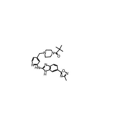 Cc1noc(-c2ccc3nc(Nc4cc(CN5CCN(C(=O)C(C)(C)C)CC5)ccn4)[nH]c3c2)n1